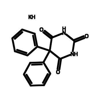 O=C1NC(=O)C(c2ccccc2)(c2ccccc2)C(=O)N1.[KH]